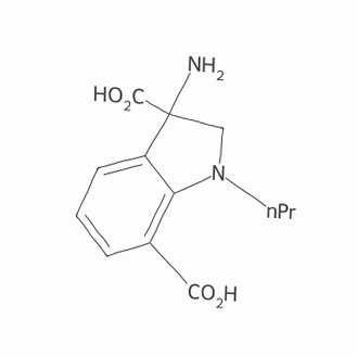 CCCN1CC(N)(C(=O)O)c2cccc(C(=O)O)c21